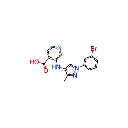 Cc1nn(-c2cccc(Br)c2)cc1Nc1cnccc1C(=O)O